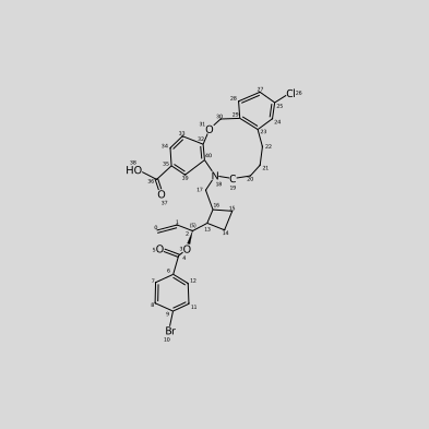 C=C[C@H](OC(=O)c1ccc(Br)cc1)C1CCC1CN1CCCCc2cc(Cl)ccc2COc2ccc(C(=O)O)cc21